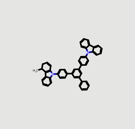 CC1CC=Cc2c1c1ccccc1n2-c1ccc(-c2cc(-c3ccccc3)cc(-c3ccc(-n4c5ccccc5c5ccccc54)cc3)c2)cc1